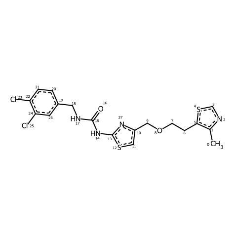 Cc1ncsc1CCOCc1csc(NC(=O)NCc2ccc(Cl)c(Cl)c2)n1